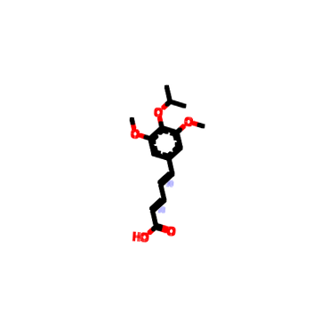 COc1cc(/C=C/C=C/C(=O)O)cc(OC)c1OC(C)C